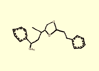 CC(=O)OC(CC(C)C1COC(CCc2ccccc2)O1)c1ccccc1